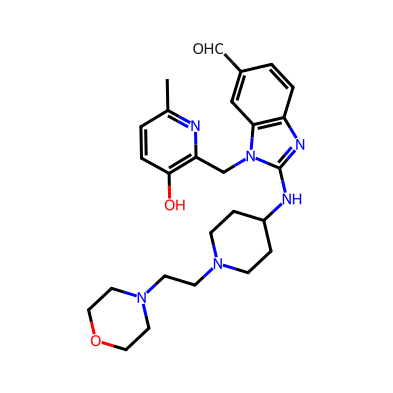 Cc1ccc(O)c(Cn2c(NC3CCN(CCN4CCOCC4)CC3)nc3ccc(C=O)cc32)n1